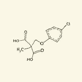 CC(COc1ccc(Cl)cc1)(C(=O)O)C(=O)O